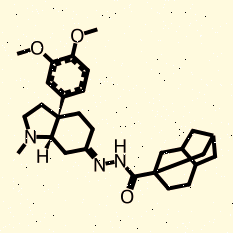 COc1ccc([C@@]23CC/C(=N\NC(=O)C45CCC6CC(CC6C4)C5)C[C@@H]2N(C)CC3)cc1OC